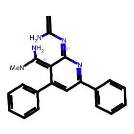 C=C(N)/N=C1/N=C(c2ccccc2)C=C(c2ccccc2)/C1=C(/N)NC